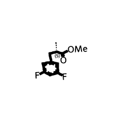 COC(=O)[C@@H](C)Cc1cc(F)cc(F)c1